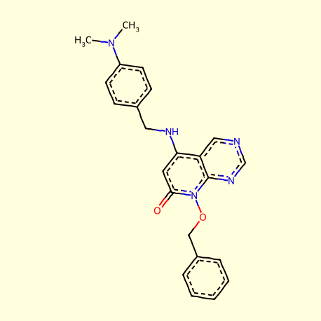 CN(C)c1ccc(CNc2cc(=O)n(OCc3ccccc3)c3ncncc23)cc1